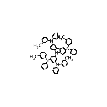 Cc1cccc(N(c2ccccc2)c2cc(N(c3ccccc3)c3cccc(C)c3)cc(-n3c4ccc(N(c5ccccc5)c5cccc(C)c5)cc4c4cc(N(c5ccccc5)c5cccc(C)c5)ccc43)c2)c1